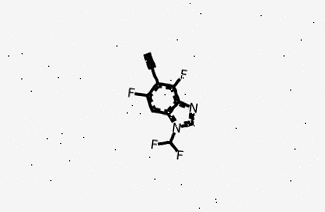 C#Cc1c(F)cc2c(ncn2C(F)F)c1F